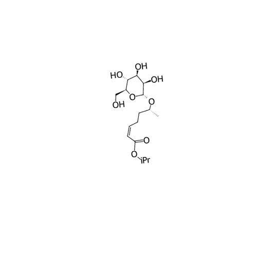 CC(C)OC(=O)/C=C\CC[C@@H](C)O[C@@H]1O[C@@H](CO)[C@H](O)[C@@H](O)[C@H]1O